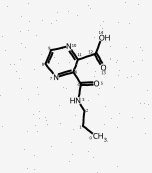 CCCNC(=O)c1nccnc1C(=O)O